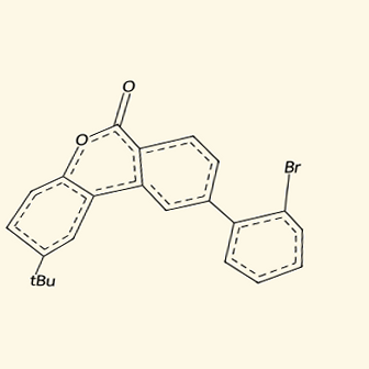 CC(C)(C)c1ccc2oc(=O)c3ccc(-c4ccccc4Br)cc3c2c1